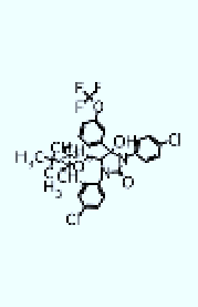 CC(C)(C)[Si](C)(C)OCC1N(c2ccc(Cl)cc2)C(=O)N(c2ccc(Cl)cc2)C1(O)c1cccc(OC(F)(F)F)c1